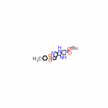 Cc1ccc(S(=O)(=O)n2ccc3c4c(cnc32)NC2(CCN(C(=O)OC(C)(C)C)CC2)C4=N)cc1